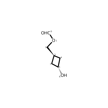 O=COC[C@H]1C[C@H](O)C1